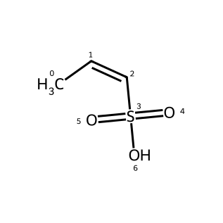 C/C=C\S(=O)(=O)O